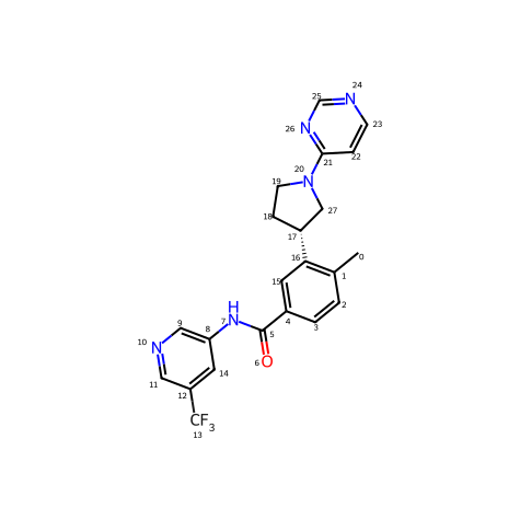 Cc1ccc(C(=O)Nc2cncc(C(F)(F)F)c2)cc1[C@@H]1CCN(c2ccncn2)C1